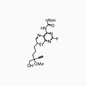 C#CC(CO)(CCCC(/C=N\c1c(C)nc(F)nc1NC(=O)CCCCCCCCC)CC)OC